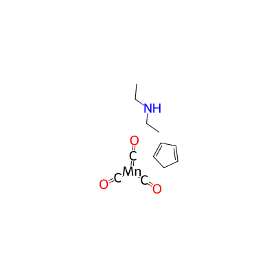 C1=CCC=C1.CCNCC.O=[C]=[Mn](=[C]=O)=[C]=O